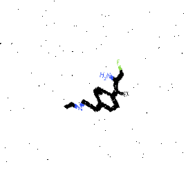 C/C=N/C=C/c1ccc(C(CC)C(N)CF)cc1